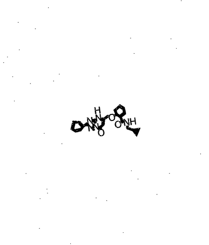 O=C(NCC1CC1)C1=CC=CCC1OCc1cc(=O)n2nc(-c3ccccc3)nc2[nH]1